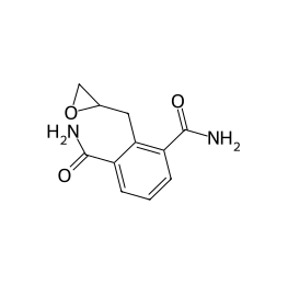 NC(=O)c1cccc(C(N)=O)c1CC1CO1